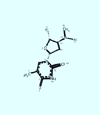 CC[C@H]1O[C@@H](n2cc(C)c(=O)[nH]c2=O)C[C@@H]1N(C)C(C)=O